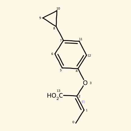 C/C=C(/Oc1ccc(C2CC2)cc1)C(=O)O